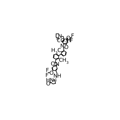 Cc1c(-c2nc3cc(CNC[C@@H]4CCC(=O)N4)c(OC(F)F)cc3o2)cccc1-c1cccc(-c2nc3cc(CN4CCC[C@H]4C(=O)O)c(OC(F)F)cc3o2)c1C